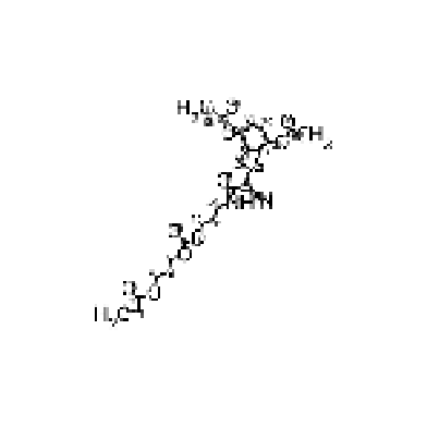 C=CC(=O)OCCCOC(=O)OCCCNC(=O)/C(C#N)=C1/Sc2c(OC(C)=O)ccc(OC(=O)CC)c2S1